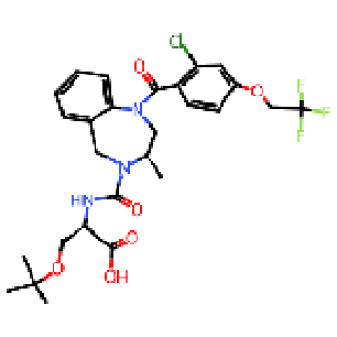 C[C@@H]1CN(C(=O)c2ccc(OCC(F)(F)F)cc2Cl)c2ccccc2CN1C(=O)N[C@H](COC(C)(C)C)C(=O)O